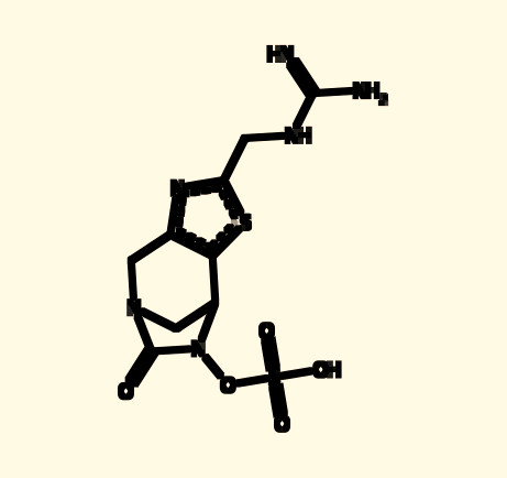 N=C(N)NCc1nc2c(s1)C1CN(C2)C(=O)N1OS(=O)(=O)O